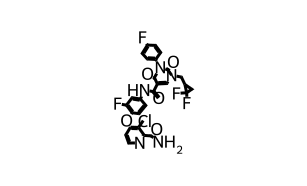 NC(=O)c1nccc(Oc2ccc(NC(=O)c3cn(CC4CC4(F)F)c(=O)n(-c4ccc(F)cc4)c3=O)cc2F)c1Cl